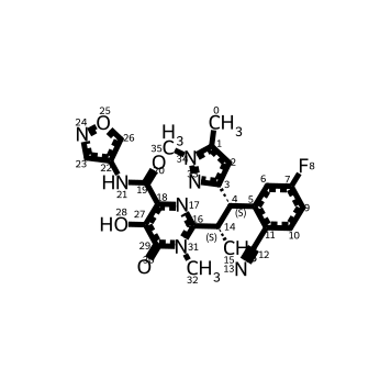 Cc1cc([C@H](c2cc(F)ccc2C#N)[C@H](C)c2nc(C(=O)Nc3cnoc3)c(O)c(=O)n2C)nn1C